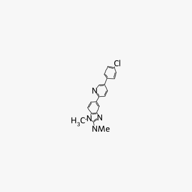 CNc1nc2cc(-c3ccc(-c4ccc(Cl)cc4)cn3)ccc2n1C